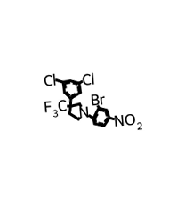 O=[N+]([O-])c1ccc(N2CCC(c3cc(Cl)cc(Cl)c3)(C(F)(F)F)C2)c(Br)c1